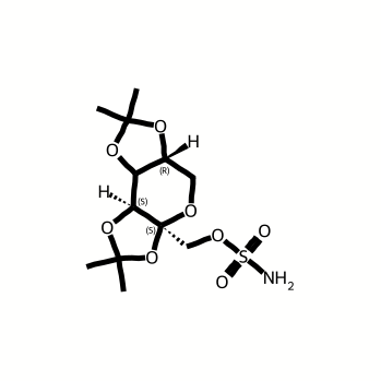 CC1(C)OC2[C@@H](CO[C@@]3(COS(N)(=O)=O)OC(C)(C)O[C@@H]23)O1